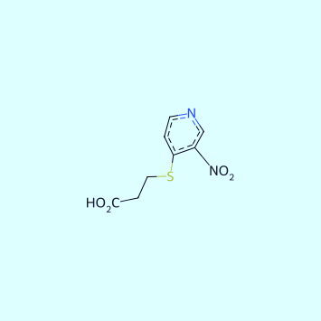 O=C(O)CCSc1ccncc1[N+](=O)[O-]